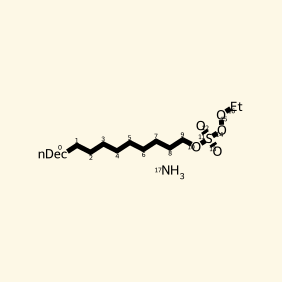 CCCCCCCCCCCCCCCCCCCOS(=O)(=O)OOCC.N